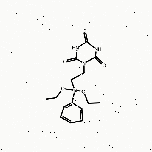 CCO[Si](CCn1c(=O)[nH]c(=O)[nH]c1=O)(OCC)c1ccccc1